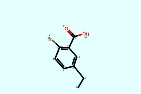 CCc1ccc(Br)c(C(=O)O)c1